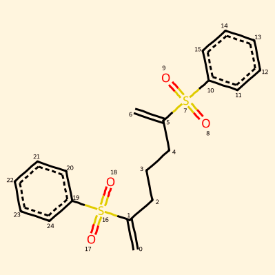 C=C(CCCC(=C)S(=O)(=O)c1ccccc1)S(=O)(=O)c1ccccc1